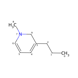 CCCC1=CC=CN(C)C1